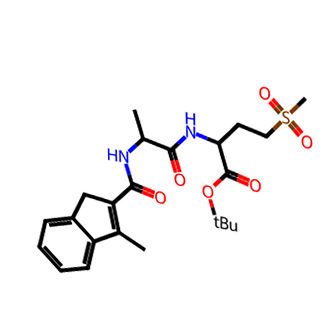 CC1=C(C(=O)NC(C)C(=O)NC(CCS(C)(=O)=O)C(=O)OC(C)(C)C)Cc2ccccc21